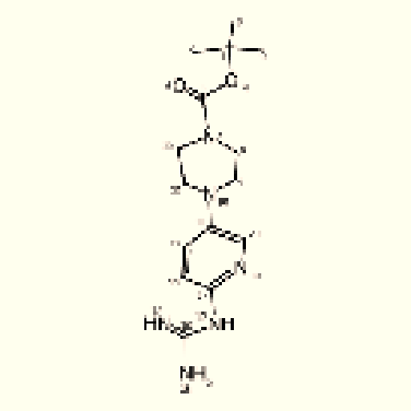 CC(C)(C)OC(=O)N1CCN(c2ccc(NC(=N)N)nc2)CC1